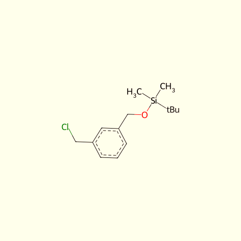 CC(C)(C)[Si](C)(C)OCc1cccc(CCl)c1